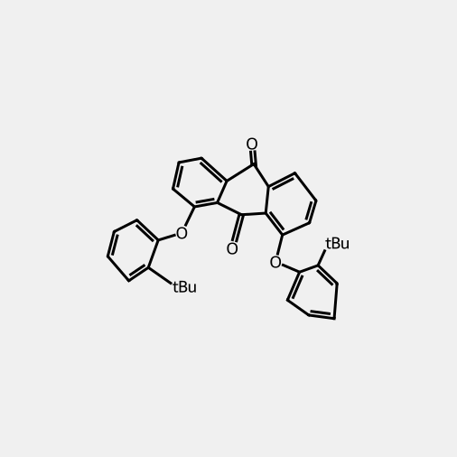 CC(C)(C)c1ccccc1Oc1cccc2c1C(=O)c1c(Oc3ccccc3C(C)(C)C)cccc1C2=O